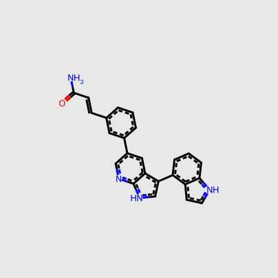 NC(=O)C=Cc1cccc(-c2cnc3[nH]cc(-c4cccc5[nH]ccc45)c3c2)c1